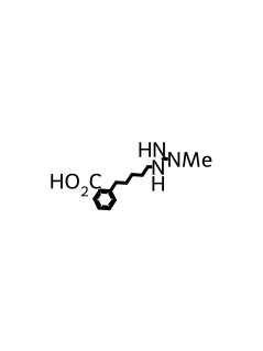 CNC(=N)NCCCCCc1ccccc1C(=O)O